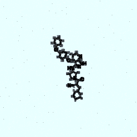 N#CC(=Cc1ccccc1)C(=O)N1CCC(Nc2n[nH]c3nccc(Oc4ccc(Oc5ccccc5)cc4)c23)C1